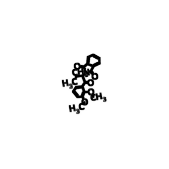 COc1cccc(C(=O)C(C(C)C)N2C(=O)c3ccccc3C2=O)c1OC